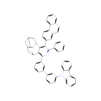 c1ccc(-c2nc(-c3cccc(-c4cccc(-n5c6ccccc6c6ccccc65)c4)c3)c3c(c2-c2ccc4c(ccc5ccccc54)c2)C2CC4CC(CC3C4)C2)cc1